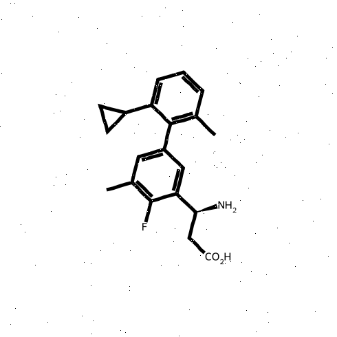 Cc1cc(-c2c(C)cccc2C2CC2)cc([C@@H](N)CC(=O)O)c1F